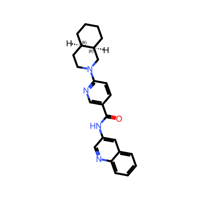 O=C(Nc1cnc2ccccc2c1)c1ccc(N2CC[C@H]3CCCC[C@H]3C2)nc1